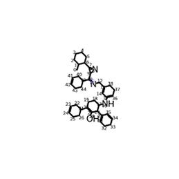 CC1CCCCC1C1=NC1/C(=N\CC1=CC(NC2CCC(C3CC=CCC3)=C(O)C2C2=CCCC=C2)=CCC1)C1CC=CCC1